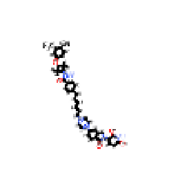 CC1(C)C(NC(=O)c2ccc(CCCCCCN3CCN(c4ccc5c(c4)CN([C@@H]4CCC(=O)NC4=O)C5=O)CC3)cc2)C(C)(C)C1Oc1ccc(C#N)c(C(F)(F)F)c1